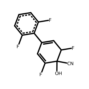 N#CC1(O)C(F)=CC(c2c(F)cccc2F)=CC1F